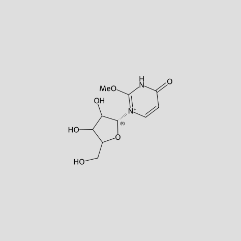 COc1[nH]c(=O)cc[n+]1[C@@H]1OC(CO)C(O)C1O